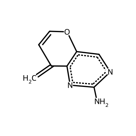 C=C1C=COc2cnc(N)nc21